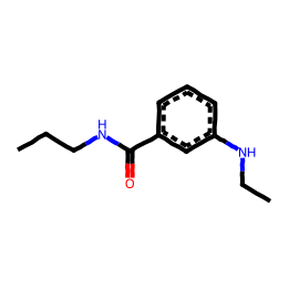 CCCNC(=O)c1cccc(NCC)c1